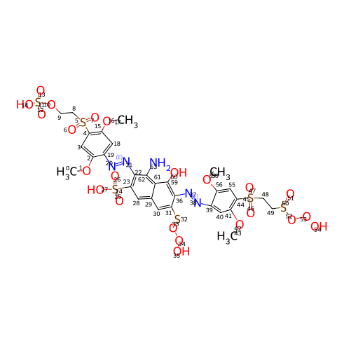 COc1cc(S(=O)(=O)CCOS(=O)(=O)O)c(OC)cc1/N=N/c1c(S(=O)(=O)O)cc2cc(SOOO)c(/N=N/c3cc(OC)c(S(=O)(=O)CCS(=O)OOO)cc3OC)c(O)c2c1N